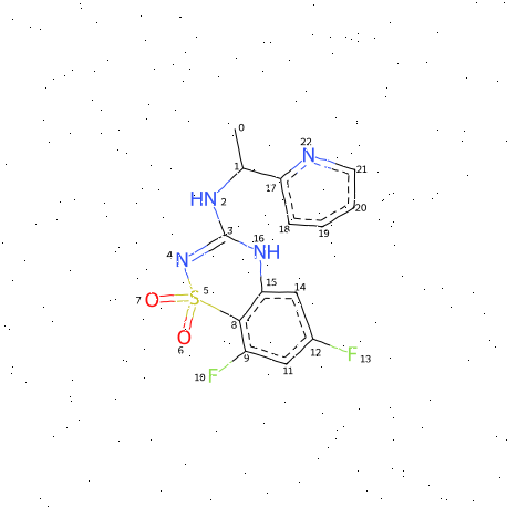 CC(NC1=NS(=O)(=O)c2c(F)cc(F)cc2N1)c1ccccn1